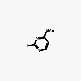 CSc1ccnc(I)n1